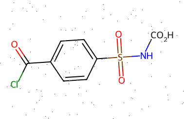 O=C(O)NS(=O)(=O)c1ccc(C(=O)Cl)cc1